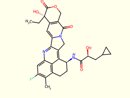 CC[C@@]1(O)C(=O)OCc2c1cc1n(c2=O)Cc2c-1nc1cc(F)c(C)c3c1c2[C@@H](NC(=O)[C@@H](O)CC1CC1)CC3